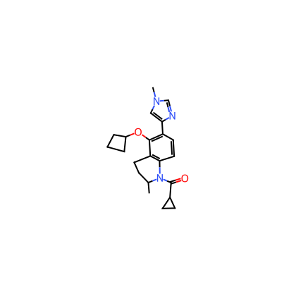 CC1CCc2c(ccc(-c3cn(C)cn3)c2OC2CCC2)N1C(=O)C1CC1